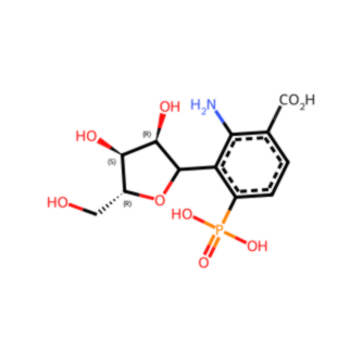 Nc1c(C(=O)O)ccc(P(=O)(O)O)c1C1O[C@H](CO)[C@@H](O)[C@H]1O